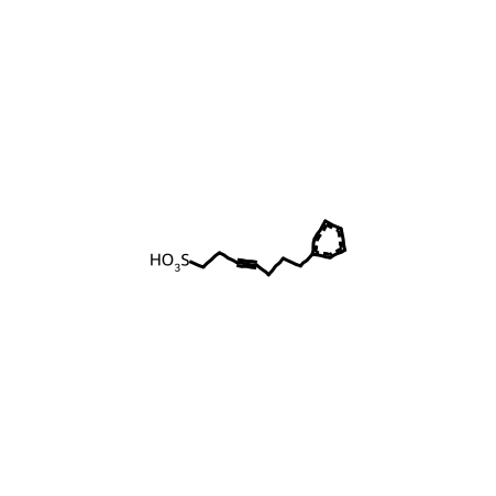 O=S(=O)(O)CCC#CCCCc1ccccc1